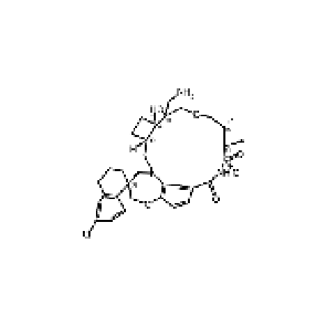 C[C@@H]1[C@@H](C)CCC[C@](O)(CN)[C@@H]2CC[C@H]2CN2C[C@@]3(CCCc4cc(Cl)ccc43)COc3ccc(cc32)C(=O)NS1(=O)=O